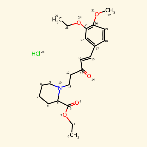 CCOC(=O)C1CCCCN1CCC(=O)C=Cc1ccc(OC)c(OCC)c1.Cl